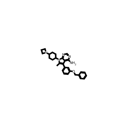 Cc1c(-c2cccc(OCc3ccccc3)c2)c2c(N)ncnc2n1C1CCC(N2CCC2)CC1